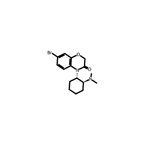 CN(C)[C@H]1CCCC[C@@H]1N1C(=O)COc2cc(Br)ccc21